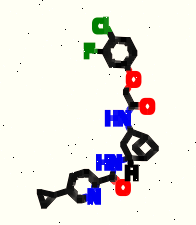 O=C(COc1ccc(Cl)c(F)c1)NC1C[C@@H](NC(=O)c2ccc(C3CC3)cn2)C2CC1C2